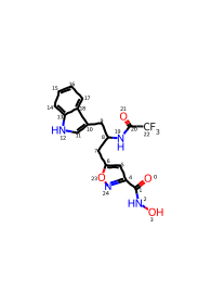 O=C(NO)c1cc(CC(Cc2c[nH]c3ccccc23)NC(=O)C(F)(F)F)on1